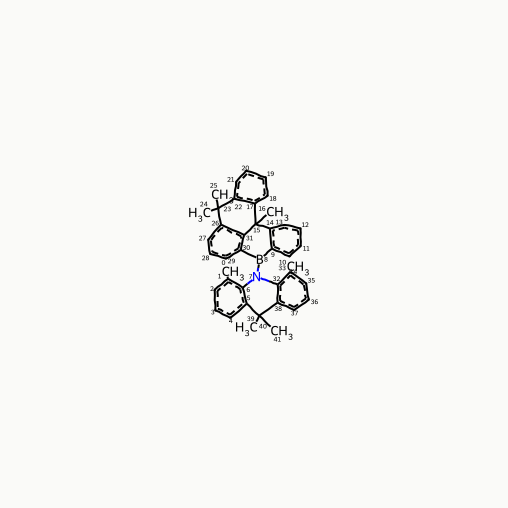 Cc1cccc2c1N(B1c3ccccc3C3(C)c4ccccc4C(C)(C)c4cccc1c43)c1c(C)cccc1C2(C)C